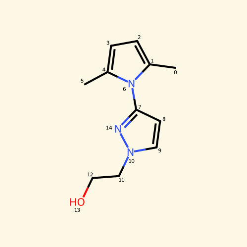 Cc1ccc(C)n1-c1ccn(CCO)n1